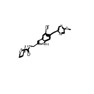 COc1cnc(-c2cc3[nH]c(CNC(=O)[C@]4(C)CCO4)cc3cc2Cl)cn1